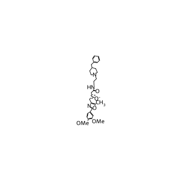 COc1ccc(-c2nc(C[S+]([O-])CC(=O)NCCCN3CCC(Cc4ccccc4)CC3)c(C)o2)cc1OC